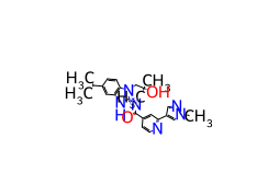 CC(C)c1ccc2c(c1)[nH]/c(=N\C(=O)c1ccnc(-c3cnn(C)c3)c1)n2CC(C)(C)O